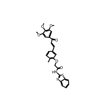 COc1cc(C(=O)/C=C/c2ccc(C)c(OCC(=O)Nc3nc4ccccc4s3)c2)cc(OC)c1OC